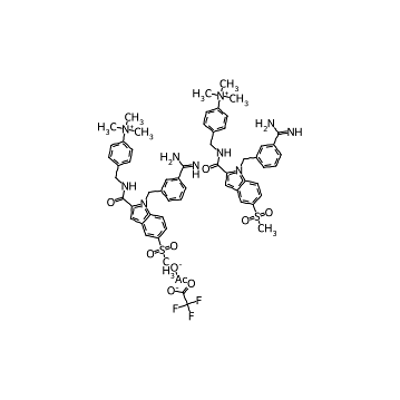 CC(=O)[O-].C[N+](C)(C)c1ccc(CNC(=O)c2cc3cc(S(C)(=O)=O)ccc3n2Cc2cccc(C(=N)N)c2)cc1.C[N+](C)(C)c1ccc(CNC(=O)c2cc3cc(S(C)(=O)=O)ccc3n2Cc2cccc(C(=N)N)c2)cc1.O=C([O-])C(F)(F)F